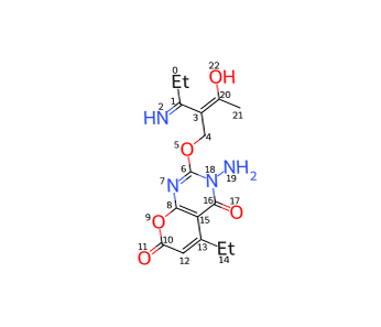 CCC(=N)/C(COc1nc2oc(=O)cc(CC)c2c(=O)n1N)=C(/C)O